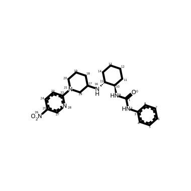 O=C(Nc1ccccc1)N[C@@H]1CCCC[C@H]1NC1CCCN(c2ccc([N+](=O)[O-])cn2)C1